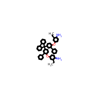 CCc1cc(Oc2ccc(C3(c4ccc(Oc5ccc(N)c(CC)c5)c(-c5ccccc5)c4)c4ccccc4-c4ccccc43)cc2-c2ccccc2)ccc1N